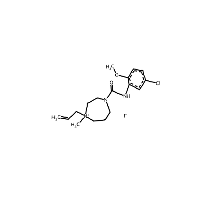 C=CC[N+]1(C)CCCN(C(=O)Nc2cc(Cl)ccc2OC)CC1.[I-]